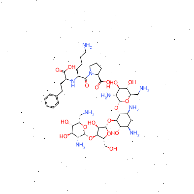 NCCCC[C@H](N[C@@H](CCc1ccccc1)C(=O)O)C(=O)N1CCC[C@H]1C(=O)O.NC[C@@H]1O[C@H](O[C@H]2[C@@H](O)[C@H](O[C@@H]3[C@@H](O)[C@H](N)C[C@H](N)[C@H]3O[C@H]3O[C@H](CN)[C@@H](O)[C@H](O)[C@H]3N)O[C@@H]2CO)[C@H](N)[C@@H](O)[C@@H]1O